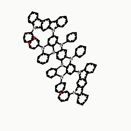 c1ccc(N2c3ccccc3B3c4cc5c(cc4N(c4ccccc4)c4cc(-n6c7ccccc7c7cc8c9ccccc9n(-c9ccccc9)c8cc76)cc2c43)N(c2ccccc2)c2cc(-n3c4ccccc4c4cc6c7ccccc7n(-c7ccccc7)c6cc43)cc3c2B5c2ccccc2N3c2ccccc2)cc1